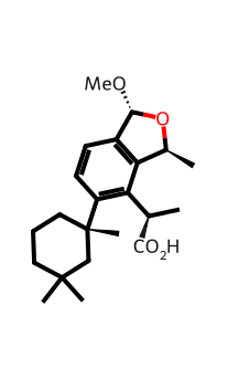 CO[C@@H]1O[C@@H](C)c2c1ccc([C@@]1(C)CCCC(C)(C)C1)c2[C@@H](C)C(=O)O